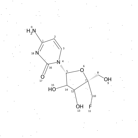 Nc1ccn([C@@H]2O[C@@](CO)(CF)C(O)C2O)c(=O)n1